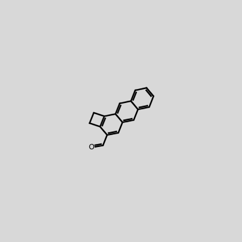 O=Cc1cc2cc3ccccc3cc2c2c1CC2